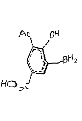 Bc1cc(C(=O)O)cc(C(C)=O)c1O